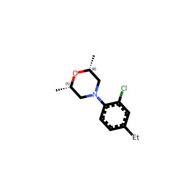 CCc1ccc(N2C[C@@H](C)O[C@@H](C)C2)c(Cl)c1